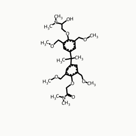 COCc1cc(C(C)(C)c2cc(COC)c(OCC(O)N(C)C)c(COC)c2)cc(COC)c1OCC(=O)N(C)C